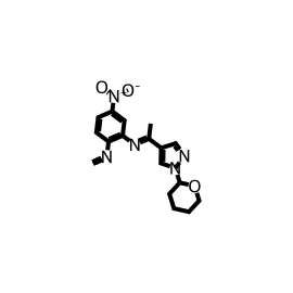 C=Nc1ccc([N+](=O)[O-])cc1/N=C(\C)c1cnn(C2CCCCO2)c1